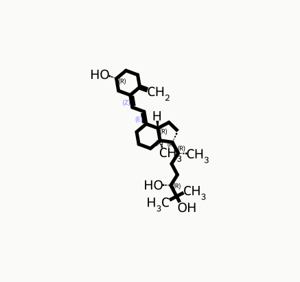 C=C1CC[C@@H](O)C/C1=C/C=C1\CCC[C@]2(C)[C@@H]([C@H](C)CC[C@@H](O)C(C)(C)O)CC[C@@H]12